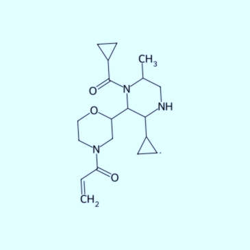 C=CC(=O)N1CCOC(C2C(C3[CH]C3)NCC(C)N2C(=O)C2CC2)C1